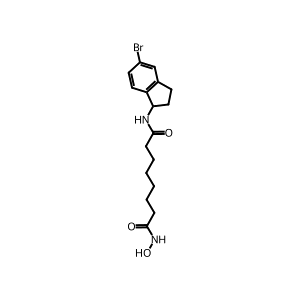 O=C(CCCCCCC(=O)NC1CCc2cc(Br)ccc21)NO